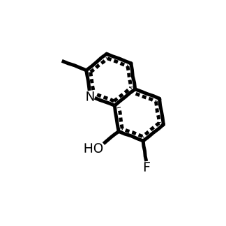 Cc1ccc2ccc(F)c(O)c2n1